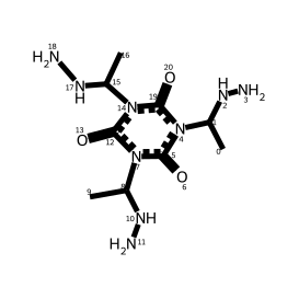 CC(NN)n1c(=O)n(C(C)NN)c(=O)n(C(C)NN)c1=O